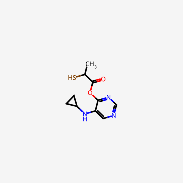 CC(S)C(=O)Oc1ncncc1NC1CC1